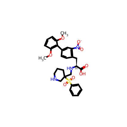 COc1cccc(OC)c1-c1ccc(C[C@H](NCC2(S(=O)(=O)c3ccccc3)CCCNC2)C(=O)O)c([N+](=O)[O-])c1